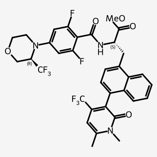 COC(=O)[C@H](Cc1ccc(-c2c(C(F)(F)F)cc(C)n(C)c2=O)c2ccccc12)NC(=O)c1c(F)cc(N2CCOC[C@@H]2C(F)(F)F)cc1F